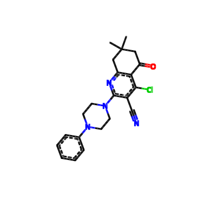 CC1(C)CC(=O)c2c(nc(N3CCN(c4ccccc4)CC3)c(C#N)c2Cl)C1